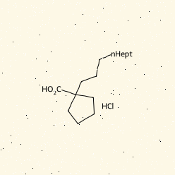 CCCCCCCCCCC1(C(=O)O)CCCC1.Cl